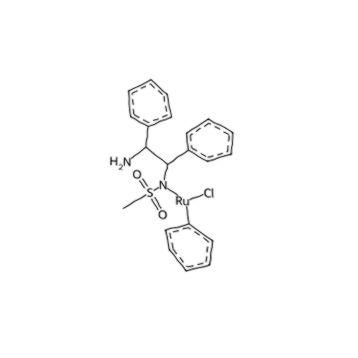 CS(=O)(=O)[N](C(c1ccccc1)C(N)c1ccccc1)[Ru]([Cl])[c]1ccccc1